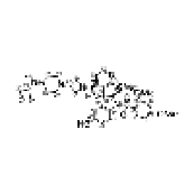 COc1ccc(S(=O)(=O)N2C(=O)[C@@](NC(=O)N3CC(N4CCC(N(C)C5COC5)CC4)C3)(c3cccnc3OC)c3cc(C#N)ccc32)c(OC)c1